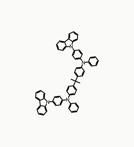 CC(C)(c1ccc(N(c2ccccc2)c2ccc(-n3c4ccccc4c4ccccc43)cc2)cc1)c1ccc(N(c2ccccc2)c2ccc(-n3c4ccccc4c4ccccc43)cc2)cc1